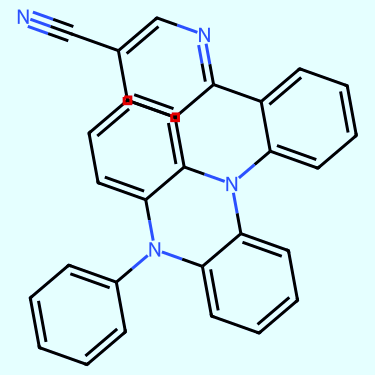 N#Cc1ccc(-c2ccccc2N2c3ccccc3N(c3ccccc3)c3ccccc32)nc1